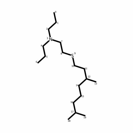 CCCN(CCC)CCSCCC(C)CCCC(C)C